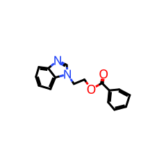 O=C(OCCn1cnc2ccccc21)c1ccccc1